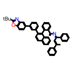 C=C(/N=C(\C=C(/C)c1ccccc1)c1ccccc1)c1ccccc1-c1c(-c2cccc(-c3ccc4oc(C(C)(C)C)nc4c3)c2)ccc2ccccc12